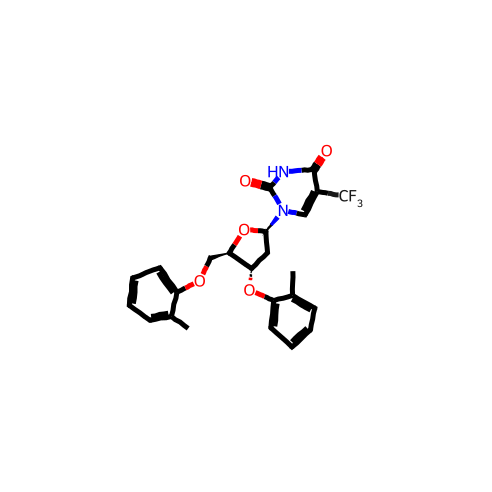 Cc1ccccc1OC[C@H]1O[C@@H](n2cc(C(F)(F)F)c(=O)[nH]c2=O)C[C@@H]1Oc1ccccc1C